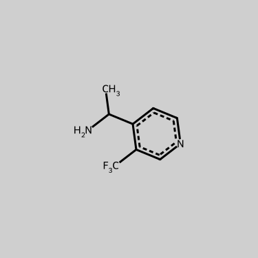 CC(N)c1ccncc1C(F)(F)F